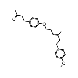 COc1ccc(CCC(C)=CCCOc2ccc(CCC(C)=O)cc2)cc1